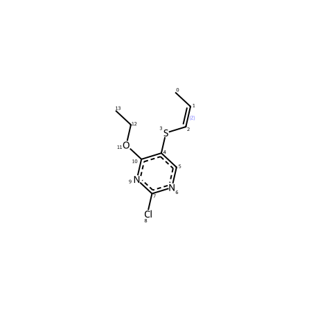 C/C=C\Sc1cnc(Cl)nc1OCC